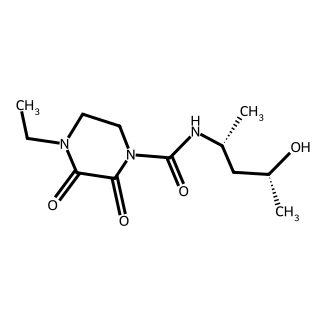 CCN1CCN(C(=O)N[C@H](C)C[C@@H](C)O)C(=O)C1=O